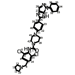 O=C(Nc1c(Cl)cc(CN2CCCC2)cc1Cl)N1CCN(c2ccc(-c3nc4cnn(-c5ccccc5)c4[nH]3)cc2)CC1